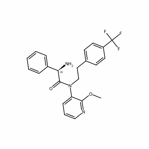 COc1ncccc1N(CCc1ccc(C(F)(F)F)cc1)C(=O)[C@H](N)c1ccccc1